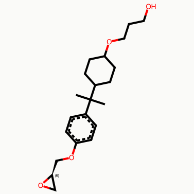 CC(C)(c1ccc(OC[C@H]2CO2)cc1)C1CCC(OCCCO)CC1